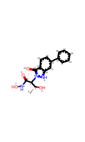 C[C@@H](O)C(C(=O)NO)n1[nH]c2cc(-c3ccccc3)ccc2c1=O